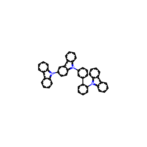 c1cc(-c2ccccc2-n2c3ccccc3c3ccccc32)cc(-n2c3ccccc3c3cc(-n4c5ccccc5c5ccccc54)ccc32)c1